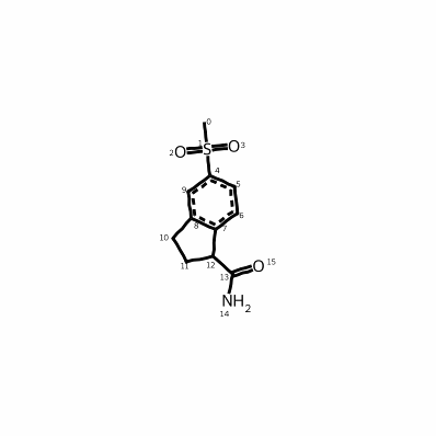 CS(=O)(=O)c1ccc2c(c1)CCC2C(N)=O